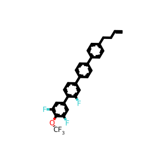 C=CCCc1ccc(-c2ccc(-c3ccc(-c4cc(F)c(OC(F)(F)F)c(F)c4)c(F)c3)cc2)cc1